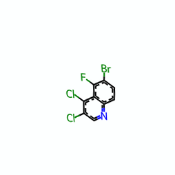 Fc1c(Br)ccc2ncc(Cl)c(Cl)c12